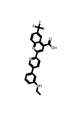 CCNc1cccc(-c2ccc(-c3cc(C(=O)O)c4cc(C(F)(F)F)ccc4n3)nc2)c1